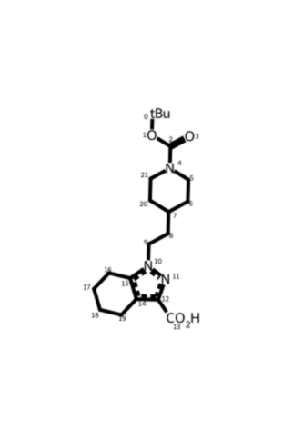 CC(C)(C)OC(=O)N1CCC(CCn2nc(C(=O)O)c3c2CCCC3)CC1